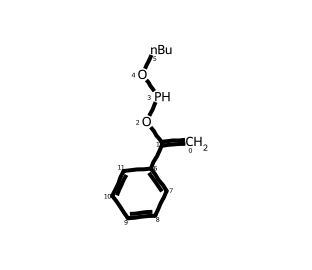 C=C(OPOCCCC)c1ccccc1